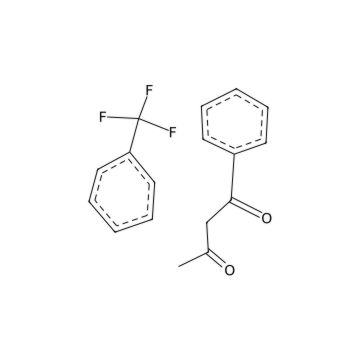 CC(=O)CC(=O)c1ccccc1.FC(F)(F)c1ccccc1